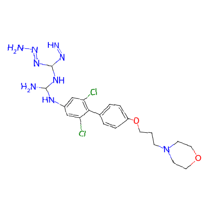 N=NC(N=NN)NC(N)Nc1cc(Cl)c(-c2ccc(OCCCN3CCOCC3)cc2)c(Cl)c1